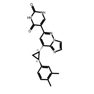 Cc1ccc([C@H]2C[C@@H]2c2cc(-c3c[nH]c(=O)[nH]c3=O)nn3ccnc23)cc1C